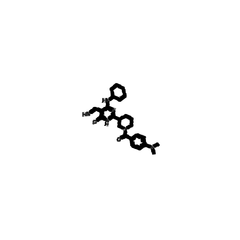 CN(C)c1ccc(C(=O)N2CCCC(c3nc(NC4CCCCC4)c(C=N)c(=O)[nH]3)C2)cc1